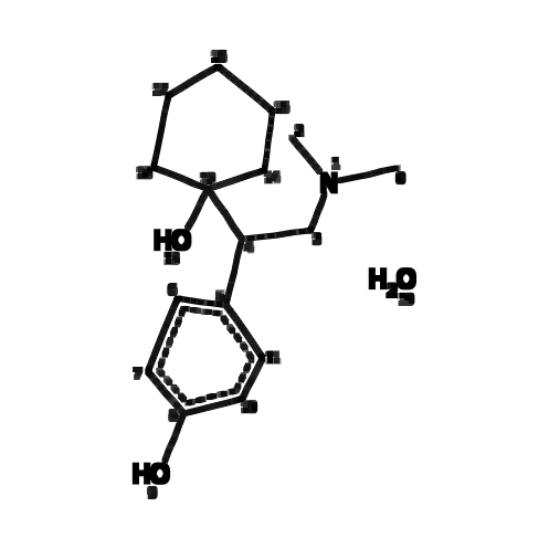 CN(C)CC(c1ccc(O)cc1)C1(O)CCCCC1.O